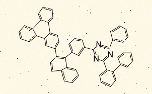 c1ccc(-c2nc(-c3cccc(-c4c(-c5ccc6c7ccccc7c7ccccc7c6c5)ccc5ccccc45)c3)nc(-c3ccccc3-c3ccccc3)n2)cc1